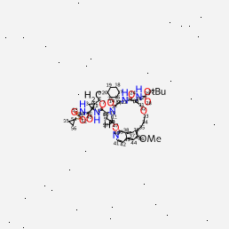 C=C[C@@H]1C[C@]1(NC(=O)[C@@H]1C[C@@H]2CN1C(=O)[C@H](C1CCCCC1)NC(=O)[C@@H](NC(=O)OC(C)(C)C)COCCCc1cc3c(nccc3cc1OC)O2)C(=O)NS(=O)(=O)C1CC1